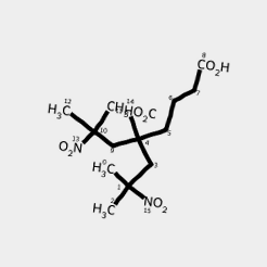 CC(C)(CC(CCCC(=O)O)(CC(C)(C)[N+](=O)[O-])C(=O)O)[N+](=O)[O-]